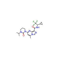 Cc1cc(N2CCCN(C(C)C)C2=O)nc2c(C(=O)NC(C3CC3)C(F)(F)F)ncn12